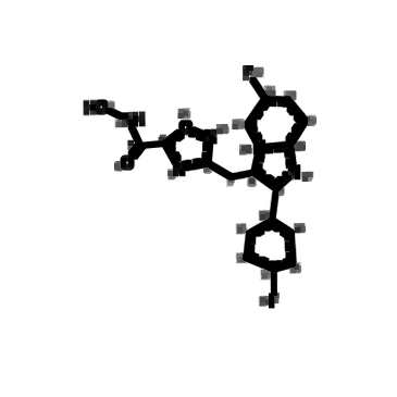 O=C(NO)c1nc(Cc2c(-c3ccc(F)cc3)nc3ccc(F)cn23)no1